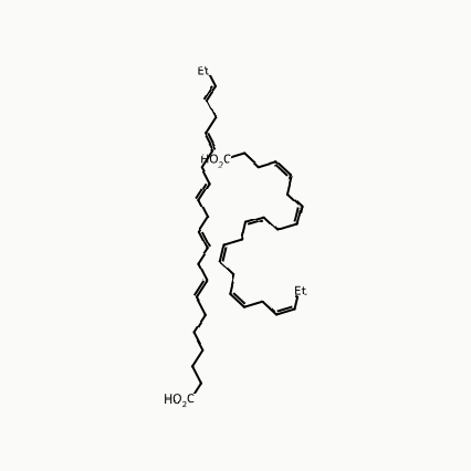 CC/C=C/C/C=C/C/C=C/C/C=C/C/C=C/CCCCCC(=O)O.CC/C=C\C/C=C\C/C=C\C/C=C\C/C=C\C/C=C\CCC(=O)O